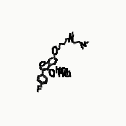 CN(C)CCN(C)CCCCOc1ccc2c(=O)c(-c3ccc(F)cc3)coc2c1.Cl.Cl